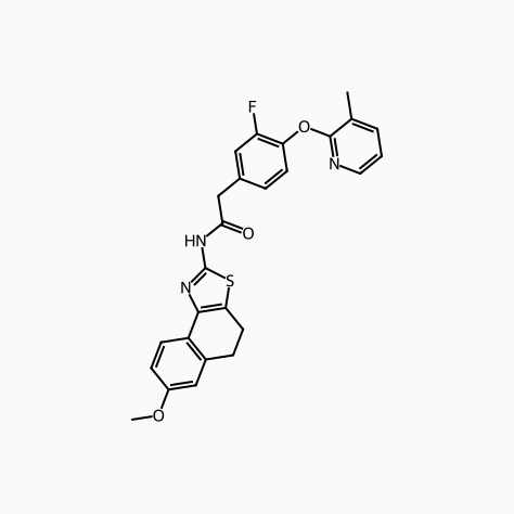 COc1ccc2c(c1)CCc1sc(NC(=O)Cc3ccc(Oc4ncccc4C)c(F)c3)nc1-2